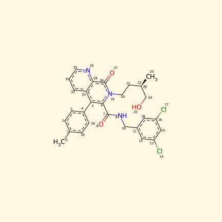 Cc1ccc(-c2c(C(=O)NCc3cc(Cl)cc(Cl)c3)n(CC[C@@H](C)CO)c(=O)c3ncccc23)cc1